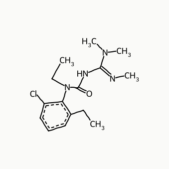 CCc1cccc(Cl)c1N(CC)C(=O)NC(=NC)N(C)C